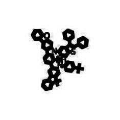 CC(C)(C)c1ccc(Nc2cc3c(cc2-c2ccc4c5cc6c(cc5n5c4c2Bc2cc4sc(-c7ccccc7)c(-c7ccccc7)c4cc2-5)oc2ccccc26)-c2ccccc2C3(C)C)cc1